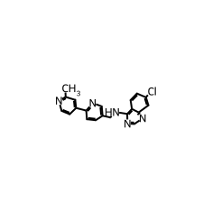 Cc1cc(-c2ccc(CNc3ncnc4cc(Cl)ccc34)cn2)ccn1